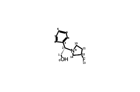 OC[C@H](c1ccccc1)N1CC[C@@H](F)C1